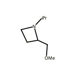 COCC1CCN1C(C)C